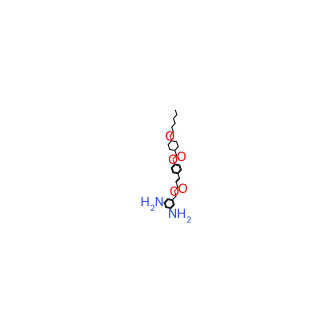 CCCCCCOC1CCC(C(=O)Oc2ccc(/C=C/C(=O)OCc3cc(N)cc(N)c3)cc2)CC1